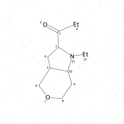 CCC(=O)C1CC2COCCC2N1CC